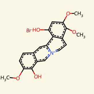 COc1ccc2cc3c4c(O)cc(OC)c(OC)c4cc[n+]3cc2c1O.[Br-]